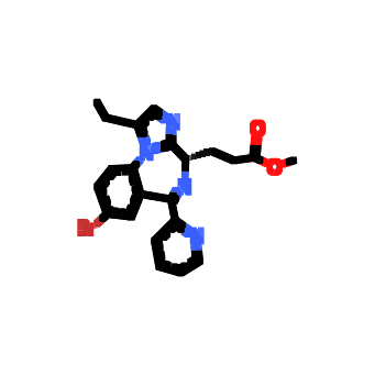 CCc1cnc2n1-c1ccc(Br)cc1C(c1ccccn1)=N[C@H]2CCC(=O)OC